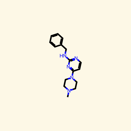 CN1CCN(c2ccnc(NCc3ccccc3)n2)CC1